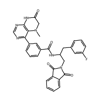 CN1CC(=O)Nc2ncnc(-c3cccc(C(=O)NC(Cc4cccc(F)c4)CN4C(=O)c5ccccc5C4=O)c3)c21